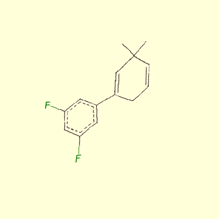 CC1(C)C=CCC(c2cc(F)cc(F)c2)=C1